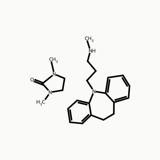 CN1CCN(C)C1=O.CNCCCN1c2ccccc2CCc2ccccc21